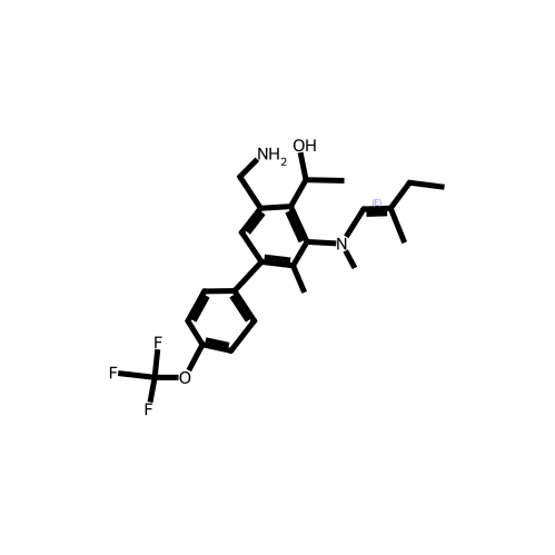 CC/C(C)=C/N(C)c1c(C)c(-c2ccc(OC(F)(F)F)cc2)cc(CN)c1C(C)O